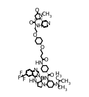 CC(C)N(C)[C@@H]1CC[C@H](N2CC[C@H](Nc3ncnc4ccc(C(F)(F)F)cc34)C2=O)[C@H](NC(=O)[C@H]2CC[C@@H](NC(=O)CCCO[C@H]3CC[C@H](OCCNC(=O)[C@H]4CC(=O)N(C)[C@@H]4c4cccnc4)CC3)CC2)C1